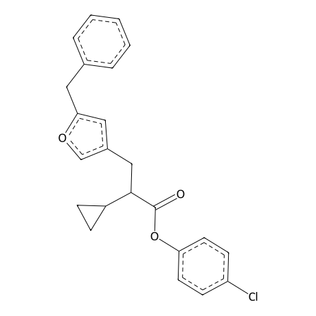 O=C(Oc1ccc(Cl)cc1)C(Cc1coc(Cc2ccccc2)c1)C1CC1